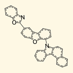 c1ccc2c(c1)ccc1c2c2ccccc2n1-c1cccc2c1oc1ccc(-c3nc4ccccc4o3)cc12